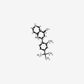 Cc1cc(C(C)(C)C)ccc1-c1cc(=O)c2cnccc2[nH]1